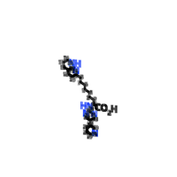 O=C(O)[C@H](CCCCCCCc1ccc2c(n1)NCCC2)Nc1ncc(-c2cccnc2)cn1